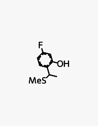 CSC(C)c1ccc(F)cc1O